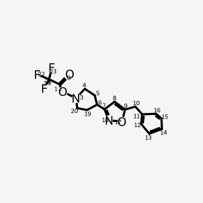 O=C(ON1CCC(c2cc(Cc3ccccc3)on2)CC1)C(F)(F)F